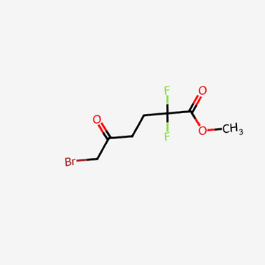 COC(=O)C(F)(F)CCC(=O)CBr